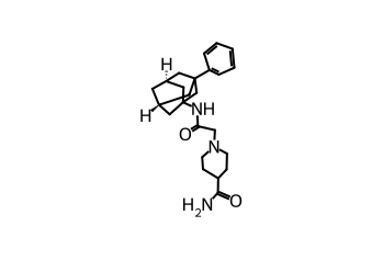 NC(=O)C1CCN(CC(=O)NC23C[C@H]4C[C@@H](C2)CC(c2ccccc2)(C4)C3)CC1